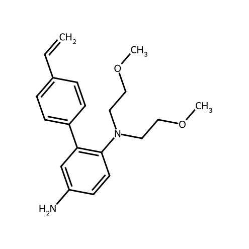 C=Cc1ccc(-c2cc(N)ccc2N(CCOC)CCOC)cc1